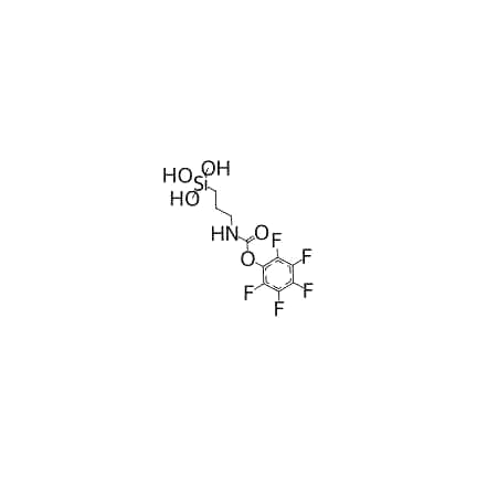 O=C(NCCC[Si](O)(O)O)Oc1c(F)c(F)c(F)c(F)c1F